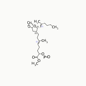 CCCC/C(C)=C/[C@H]1OC(OC)C[C@@H]1CC/C(C)=C/CCC(OP=O)C(=O)OC